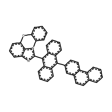 c1ccc2c(c1)Oc1cccc3nc(-c4c5ccccc5c(-c5ccc6c(ccc7ccccc76)c5)c5ccccc45)n-2c13